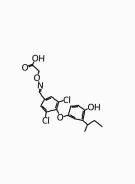 CCC(C)c1cc(Oc2c(Cl)cc(C=NOCC(=O)O)cc2Cl)ccc1O